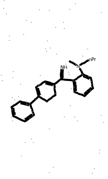 CCCN(C)c1ccccc1C(=N)C1=CC=C(c2ccccc2)CC1